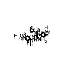 CS(=O)(=O)c1ccc(Nc2nc(N)c3c(n2)n(C2CCOC2)c(=O)n3-c2ccc3cn[nH]c3c2)c(F)c1